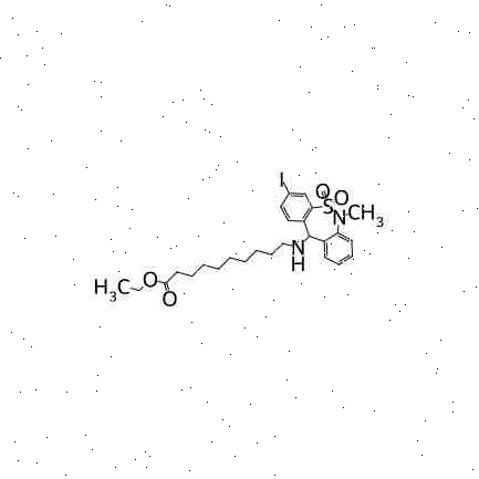 CCOC(=O)CCCCCCCCCNC1c2ccccc2N(C)S(=O)(=O)c2cc(I)ccc21